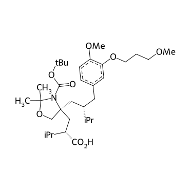 COCCCOc1cc(C[C@@H](C[C@]2(C[C@H](C(=O)O)C(C)C)COC(C)(C)N2C(=O)OC(C)(C)C)C(C)C)ccc1OC